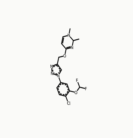 CC1N=C(OCc2cn(-c3ccc(Cl)c(OC(F)F)c3)nn2)C=CN1C